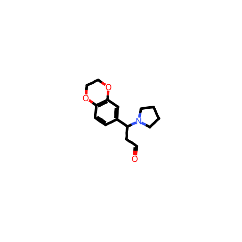 O=CCC(c1ccc2c(c1)OCCO2)N1CCCC1